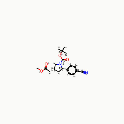 COC(=O)C[C@H]1C[C@H](c2ccc(C#N)cc2)N(C(=O)OC(C)(C)C)C1